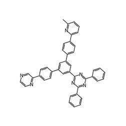 Cc1cccc(-c2ccc(-c3cc(-c4ccc(-c5cnccn5)cc4)cc(-c4nc(-c5ccccc5)nc(-c5ccccc5)n4)c3)cc2)n1